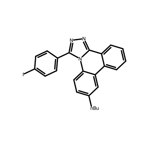 CCCCc1ccc2c(c1)c1ccccc1c1nnc(-c3ccc(I)cc3)n21